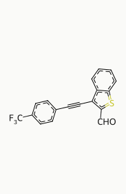 O=Cc1sc2ccccc2c1C#Cc1ccc(C(F)(F)F)cc1